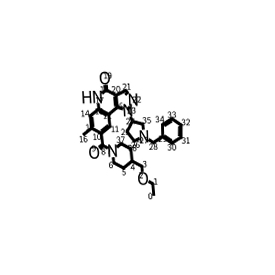 CCOCC1CCN(C(=O)c2cc3c(cc2C)[nH]c(=O)c2cnn(C4CCN(Cc5ccccc5)C4)c23)CC1